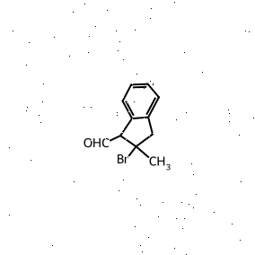 CC1(Br)Cc2ccccc2C1C=O